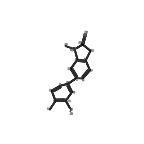 Cc1ccc(-c2ccc3c(c2)N(C)C(=O)C3)cc1F